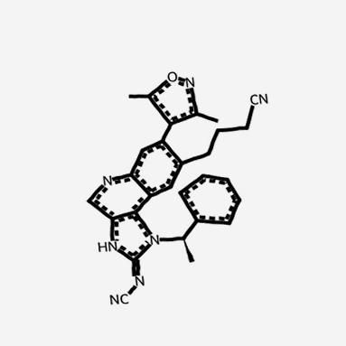 Cc1noc(C)c1-c1cc2ncc3[nH]c(=NC#N)n([C@H](C)c4ccccc4)c3c2cc1CCCC#N